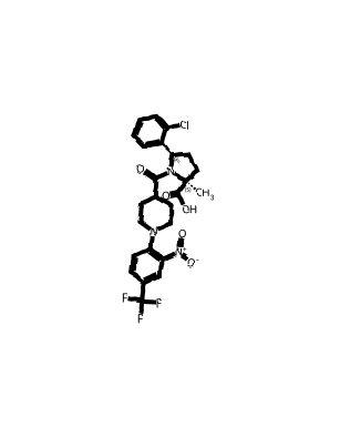 C[C@@]1(C(=O)O)CC[C@H](c2ccccc2Cl)N1C(=O)C1CCN(c2ccc(C(F)(F)F)cc2[N+](=O)[O-])CC1